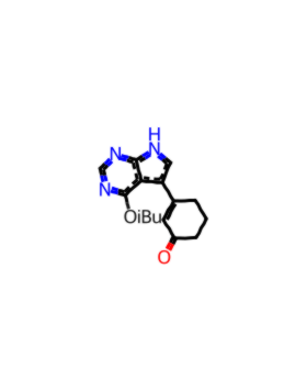 CC(C)COc1ncnc2[nH]cc(C3=CC(=O)CCC3)c12